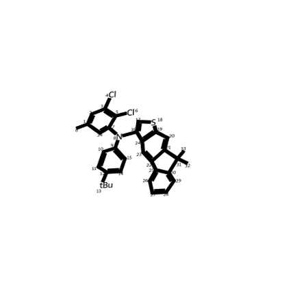 Cc1cc(Cl)c(Cl)c(N(c2ccc(C(C)(C)C)cc2)c2csc3cc4c(cc23)-c2ccccc2C4(C)C)c1